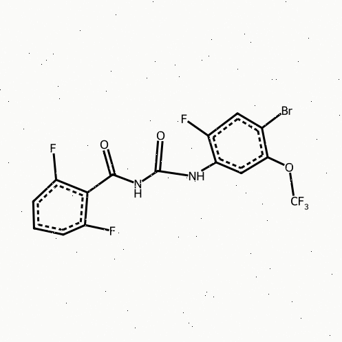 O=C(NC(=O)c1c(F)cccc1F)Nc1cc(OC(F)(F)F)c(Br)cc1F